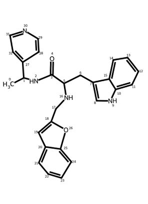 CC(NC(=O)C(Cc1c[nH]c2ccccc12)NCc1cc2ccccc2o1)c1ccncc1